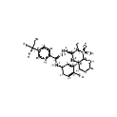 CN1C(=N)N[C@@]2(C3=CC(NC(=O)c4ccc(C(F)(F)F)cn4)CC=C3F)CCCOC2S1(=O)=O